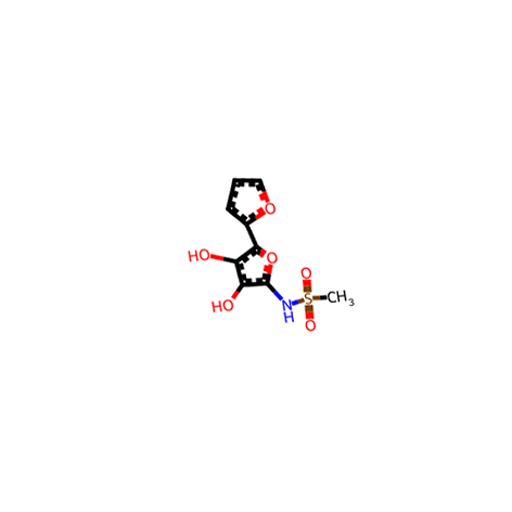 CS(=O)(=O)Nc1oc(-c2ccco2)c(O)c1O